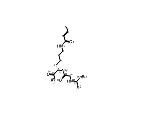 C/C=C/C(=O)NCCCC[C@H](NC(=O)CNC(CC)CCCC)C(=O)C(C)C